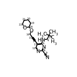 CC(C)(C)CNc1nc(C#N)ncc1C#CCOC1CCCCO1